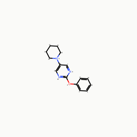 c1ccc(Oc2ncc(N3CCCCC3)cn2)cc1